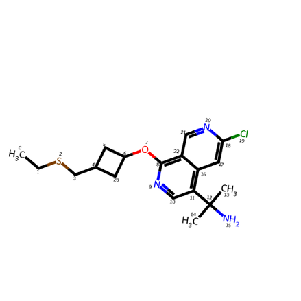 CCSCC1CC(Oc2ncc(C(C)(C)N)c3cc(Cl)ncc23)C1